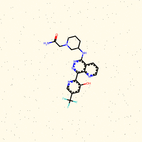 NC(=O)CN1CCCC(Nc2nnc(-c3ncc(C(F)(F)F)cc3O)c3ncccc23)C1